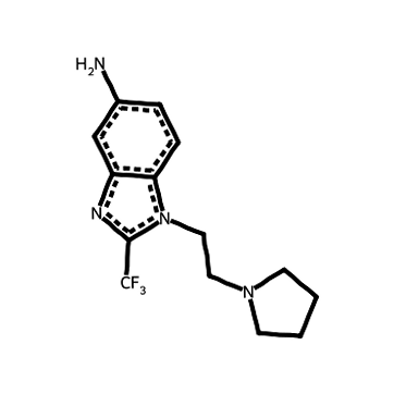 Nc1ccc2c(c1)nc(C(F)(F)F)n2CCN1CCCC1